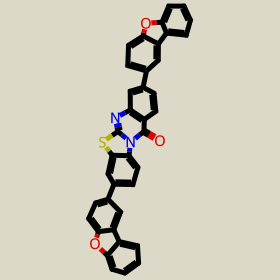 O=c1c2ccc(-c3ccc4oc5ccccc5c4c3)cc2nc2sc3cc(-c4ccc5oc6ccccc6c5c4)ccc3n12